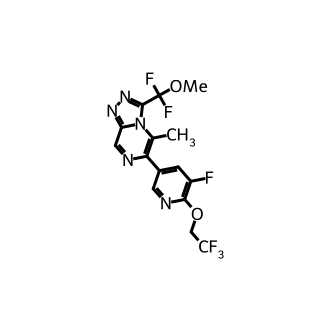 COC(F)(F)c1nnc2cnc(-c3cnc(OCC(F)(F)F)c(F)c3)c(C)n12